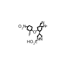 Cn1ncc2cc(Oc3ccc([N+](=O)[O-])cc3F)c(-c3cnn(C(=O)O)c3)cc21